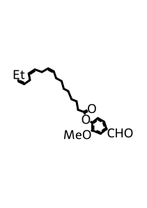 CC/C=C\C/C=C\C/C=C\CCCCCCCC(=O)Oc1ccc(C=O)cc1OC